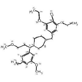 CCOc1cc(CN2CCC(N(CCOC)c3nc(N)nc(OC)n3)CC2)cc(OCC)c1Cl